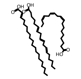 CC/C=C\C/C=C\C/C=C\CCCCCCCC(=O)O.CCCCCC=CCC=CCC=CCCCCC(=O)O.CCCCCCCCCCCCCCCCCC=CC(=O)O